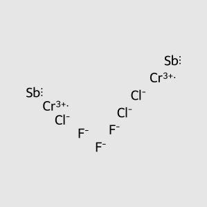 [Cl-].[Cl-].[Cl-].[Cr+3].[Cr+3].[F-].[F-].[F-].[Sb].[Sb]